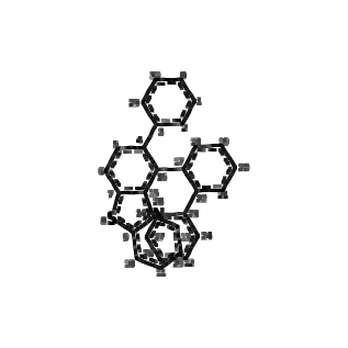 c1ccc(-c2ccc3sc4ccccc4c3c2-c2ccccc2-c2ccccn2)cc1